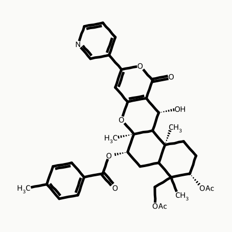 CC(=O)OCC1(C)C2C[C@H](OC(=O)c3ccc(C)cc3)[C@@]3(C)Oc4cc(-c5cccnc5)oc(=O)c4[C@H](O)C3[C@@]2(C)CC[C@@H]1OC(C)=O